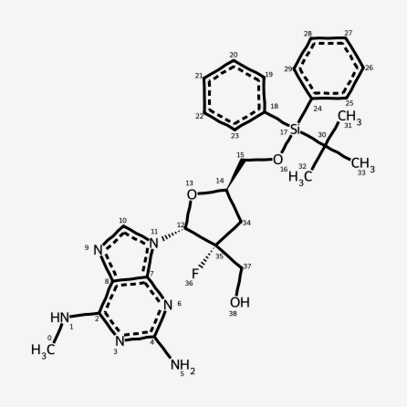 CNc1nc(N)nc2c1ncn2[C@@H]1O[C@@H](CO[Si](c2ccccc2)(c2ccccc2)C(C)(C)C)C[C@@]1(F)CO